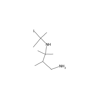 CC(CN)C(C)(C)NC(C)(C)I